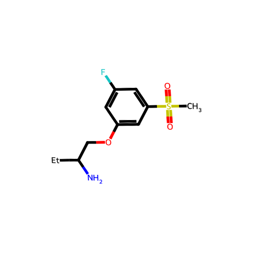 CCC(N)COc1cc(F)cc(S(C)(=O)=O)c1